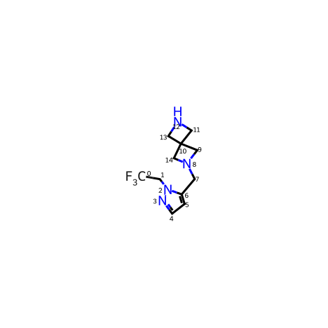 FC(F)(F)Cn1nccc1CN1CC2(CNC2)C1